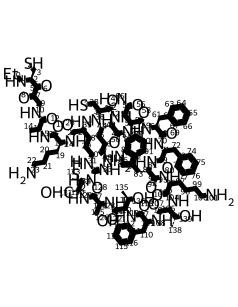 CCN[C@@H](CS)C(=O)C(=O)CNC(=O)C(C)NC(=O)[C@H](CCCCN)NC(=O)C(CCCNC(=N)N)NNC(CS)C(=O)N[C@@H](CCCCN)C(=O)NC(CC(N)=O)C(=O)N[C@@H](Cc1ccccc1)C(=O)NC(Cc1ccccc1)C(=O)N[C@@H](Cc1c[nH]c2ccccc12)C(=O)NC(CCCCN)C(=O)N[C@H](C(=O)NC(Cc1ccccc1)C(=O)N[C@H](C(=O)NC(CO)C(=O)N[C@H](C=O)CS)[C@@H](C)O)[C@@H](C)O